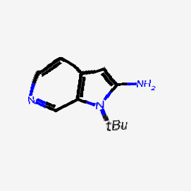 CC(C)(C)n1c(N)cc2ccncc21